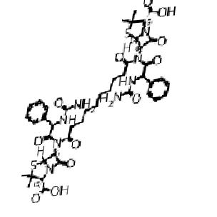 CC1(C)S[C@@H]2[C@H](N(C(=O)CCCCCCCCC(=O)N(C(=O)C(NC(N)=O)c3ccccc3)[C@@H]3C(=O)N4[C@@H]3SC(C)(C)[C@@H]4C(=O)O)C(=O)C(NC(N)=O)c3ccccc3)C(=O)N2[C@H]1C(=O)O